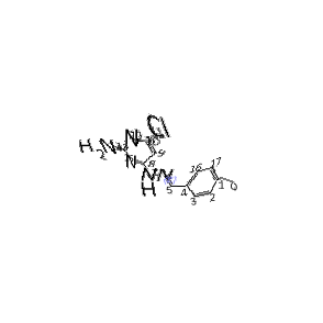 Cc1ccc(/C=N/Nc2cc(Cl)nc(N)n2)cc1